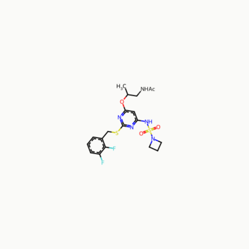 CC(=O)NCC(C)Oc1cc(NS(=O)(=O)N2CCC2)nc(SCc2cccc(F)c2F)n1